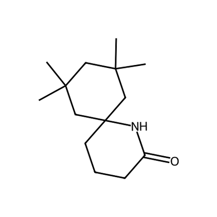 CC1(C)CC(C)(C)CC2(CCCC(=O)N2)C1